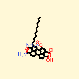 CCCCCCCCCCCCc1c(C(N)=O)c2c(C(N)=O)ccc3c4ccc(C(=O)O)c5c(C(=O)O)ccc(c(c1[N+](=O)[O-])c23)c54